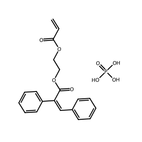 C=CC(=O)OCCOC(=O)C(=Cc1ccccc1)c1ccccc1.O=P(O)(O)O